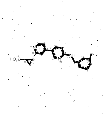 Cc1cccc(CNc2ccc(-c3ccnc([C@@H]4C[C@H]4C(=O)O)c3)cn2)c1